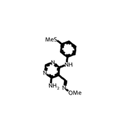 CON=Cc1c(N)ncnc1Nc1cccc(SC)c1